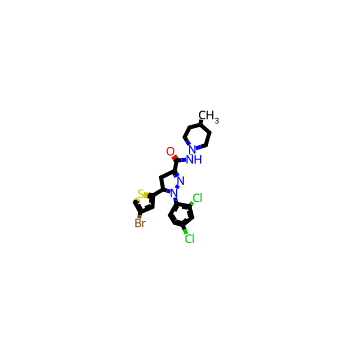 CC1CCN(NC(=O)C2=NN(c3ccc(Cl)cc3Cl)C(c3cc(Br)cs3)C2)CC1